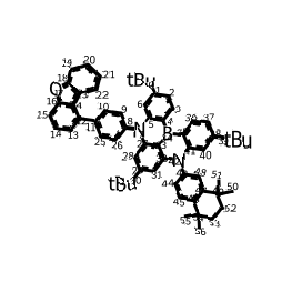 CC(C)(C)c1ccc2c(c1)N(c1ccc(-c3cccc4oc5ccccc5c34)cc1)c1cc(C(C)(C)C)cc3c1B2c1ccc(C(C)(C)C)cc1N3c1ccc2c(c1)C(C)(C)CCC2(C)C